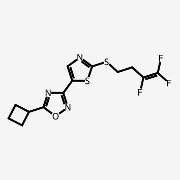 FC(F)=C(F)CCSc1ncc(-c2noc(C3CCC3)n2)s1